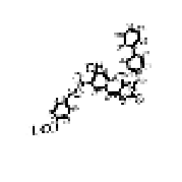 COc1ccc(COC(=O)c2cc(/C=C3/SC(=O)N(Cc4ccc(-c5ccccc5)cc4)C3=O)ccc2O)cc1